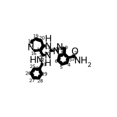 NC(=O)c1cccc2c1cnn2C1NC2=C(CN=CC=C2)C(NCc2ccccc2)N1